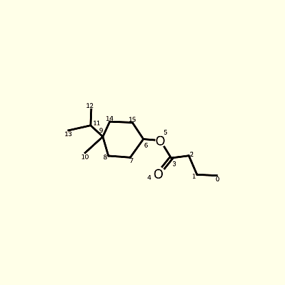 CCCC(=O)OC1CCC(C)(C(C)C)CC1